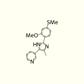 COc1cc(SC)ccc1-c1nc(C)c(-c2cccnc2)[nH]1